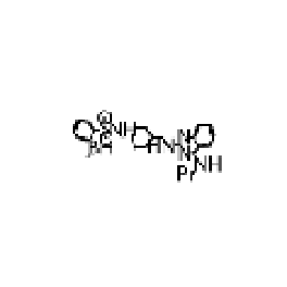 CBc1ccccc1S(=O)(=O)NC[C@H]1CC[C@H](CNc2nc(NC(C)C)c3ccccc3n2)CC1